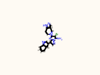 Nc1c(Br)c(N2CCc3[nH]ncc3C2)nc2c(-c3cnc4ccccc4c3)cnn12